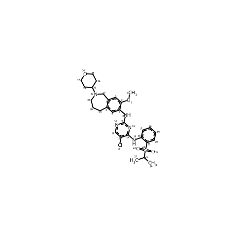 COc1cc2c(cc1Nc1ncc(Cl)c(Nc3ccccc3S(=O)(=O)C(C)C)n1)CCCN(C1CCOCC1)C2